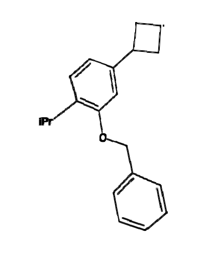 CC(C)c1ccc(C2C[CH]C2)cc1OCc1ccccc1